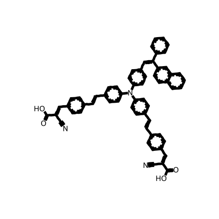 N#C/C(=C\c1ccc(/C=C/c2ccc(N(c3ccc(/C=C(/c4ccccc4)c4ccc5ccccc5c4)cc3)c3ccc(/C=C/c4ccc(/C=C(\C#N)C(=O)O)cc4)cc3)cc2)cc1)C(=O)O